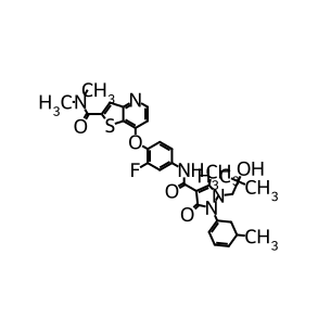 Cc1c(C(=O)Nc2ccc(Oc3ccnc4cc(C(=O)N(C)C)sc34)c(F)c2)c(=O)n(C2=CC=CC(C)C2)n1CC(C)(C)O